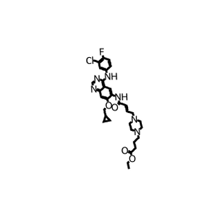 CCOC(=O)CCCN1CCN(CC=CC(=O)Nc2cc3c(Nc4ccc(F)c(Cl)c4)ncnc3cc2OCC2CC2)CC1